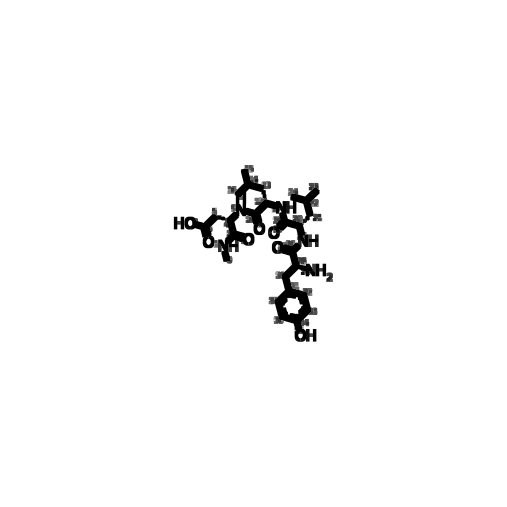 CNC(=O)[C@H](CC(=O)O)NC(=O)[C@H](CC(C)C)NC(=O)[C@H](CC(C)C)NC(=O)[C@@H](N)Cc1ccc(O)cc1